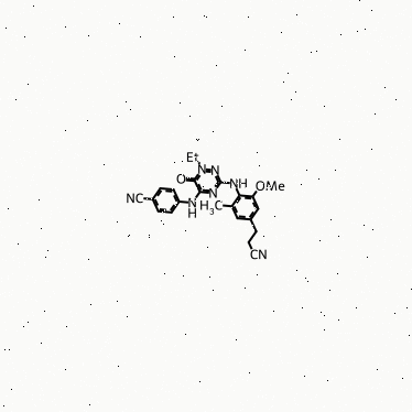 CCn1nc(Nc2c(C)cc(CCC#N)cc2OC)nc(Nc2ccc(C#N)cc2)c1=O